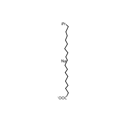 CC(C)CCCCCCCCCCCCCCCCCC(=O)[O-].[Na+]